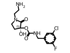 NCCN1CC[C@](O)(OC(=O)NCc2cc(F)cc(Cl)c2)C1=O